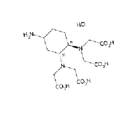 Cl.NC1CC[C@@H](N(CC(=O)O)CC(=O)O)[C@H](N(CC(=O)O)CC(=O)O)C1